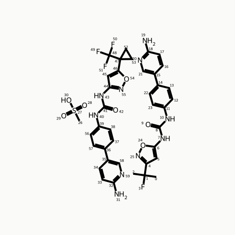 CC(C)(F)c1cc(NC(=O)Nc2ccc(-c3ccc(N)nc3)cc2)on1.CS(=O)(=O)O.Nc1ccc(-c2ccc(NC(=O)Nc3cc(C4(C(F)(F)F)CC4)on3)cc2)cn1